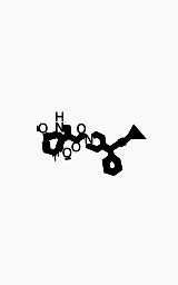 COC1=c2[nH]cc(C(=O)C(=O)N3CCC(=C(C#CC4CC4)c4ccccc4)CC3)c2=C(OC)[C@H](C)C#C1